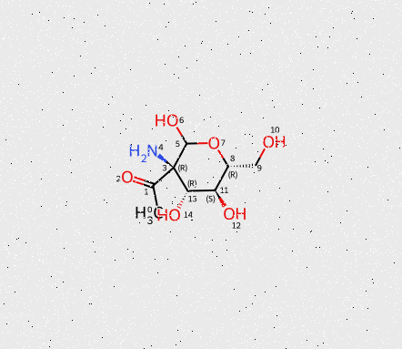 CC(=O)[C@]1(N)C(O)O[C@H](CO)[C@@H](O)[C@@H]1O